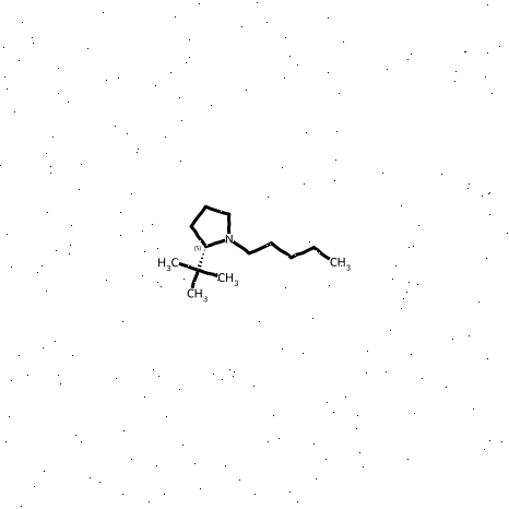 CCCCCN1CCC[C@H]1C(C)(C)C